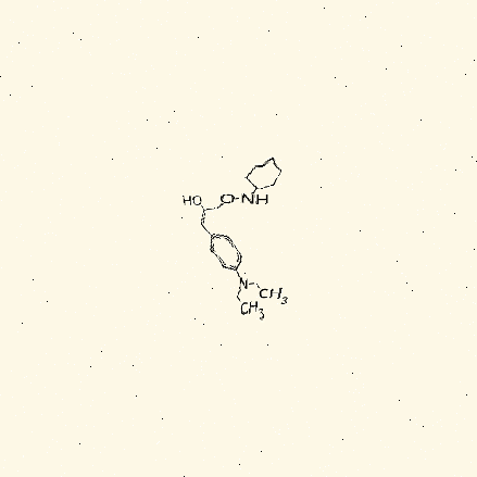 CCN(CC)c1ccc(/C=C(/O)CONC2CCCCC2)cc1